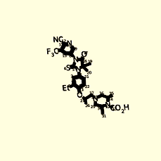 CCc1cc(N2C(=S)N(c3cnc(C#N)c(C(F)(F)F)c3)C(=O)C2(C)C)ccc1OC(C)CN1CC(C)N(C(=O)O)C(C)C1